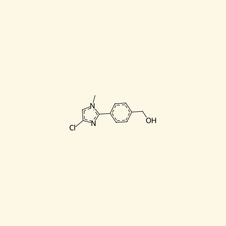 Cn1cc(Cl)nc1-c1ccc(CO)cc1